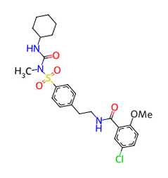 COc1ccc(Cl)cc1C(=O)NCCc1ccc(S(=O)(=O)N(C)C(=O)NC2CCCCC2)cc1